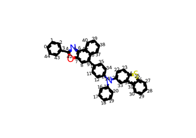 c1ccc(-c2nc3c(cc(-c4ccc(N(c5ccccc5)c5ccc6sc7ccccc7c6c5)cc4)c4ccccc43)o2)cc1